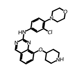 Clc1cc(Nc2ncc3cccc(OC4CCNCC4)c3n2)ccc1N1CCOCC1